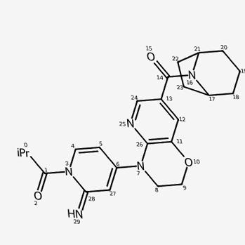 CC(C)C(=O)n1ccc(N2CCOc3cc(C(=O)N4C5CCCC4CC5)cnc32)cc1=N